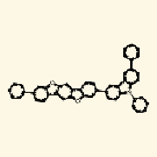 c1ccc(-c2ccc3c(c2)oc2cc4c(cc23)oc2cc(-c3ccc5c(c3)c3cc(-c6ccccc6)ccc3n5-c3ccccc3)ccc24)cc1